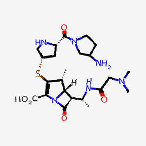 C[C@@H](NC(=O)CN(C)C)[C@H]1C(=O)N2C(C(=O)O)=C(S[C@@H]3CN[C@H](C(=O)N4CCC(N)C4)C3)[C@H](C)[C@H]12